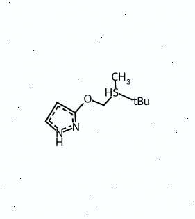 C[SH](COc1cc[nH]n1)C(C)(C)C